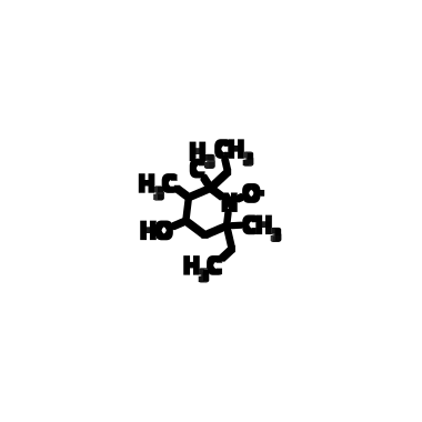 CCC1(C)CC(O)C(C)C(C)(CC)N1[O]